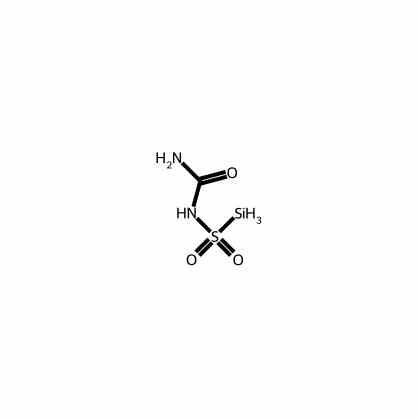 NC(=O)NS(=O)(=O)[SiH3]